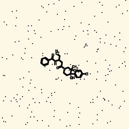 CCC(CC(=O)N1CC[C@](O)(c2ccc(Cl)cc2)C(C)(C)C1)NC(=O)c1ccccc1